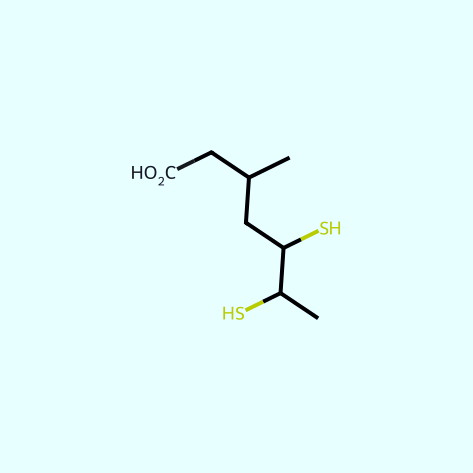 CC(CC(=O)O)CC(S)C(C)S